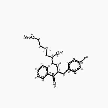 COCCNCC(O)COC(Cc1ccc(F)cc1)C(=O)c1ccccc1